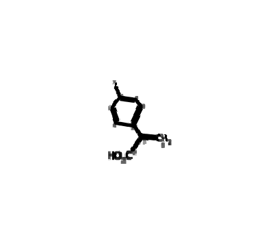 C=C(C(=O)O)c1ccc(I)cc1